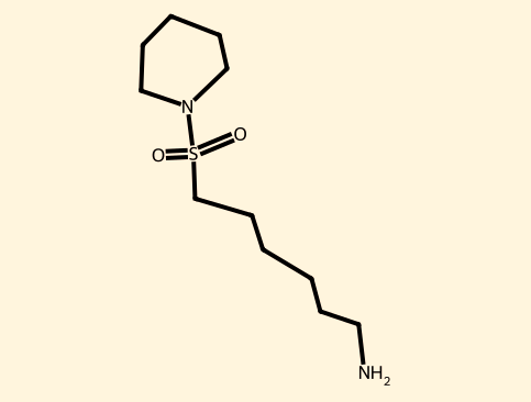 NCCCCCCS(=O)(=O)N1CCCCC1